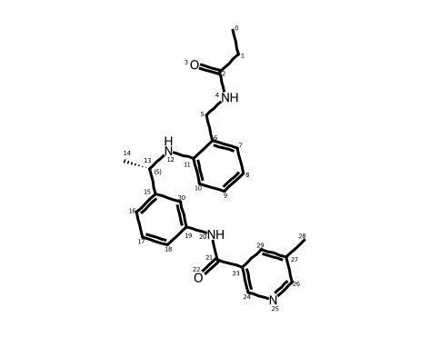 CCC(=O)NCc1ccccc1N[C@@H](C)c1cccc(NC(=O)c2cncc(C)c2)c1